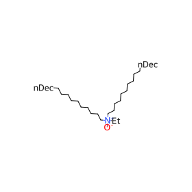 CCCCCCCCCCCCCCCCCCCC[N+]([O-])(CC)CCCCCCCCCCCCCCCCCCCC